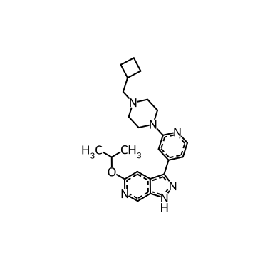 CC(C)Oc1cc2c(-c3ccnc(N4CCN(CC5CCC5)CC4)c3)n[nH]c2cn1